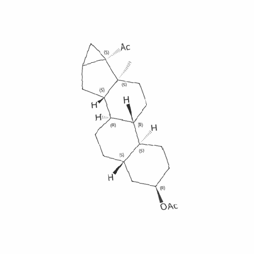 CC(=O)O[C@@H]1CC[C@H]2[C@@H](CC[C@@H]3[C@@H]2CC[C@@]2(C)[C@H]3CC3C[C@]32C(C)=O)C1